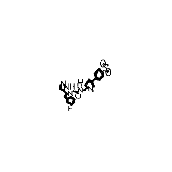 CS(=O)(=O)c1ccc(-c2ccc(CNC(=O)Cn3c(-c4ccn[nH]4)cc4cc(F)ccc43)nc2)cc1